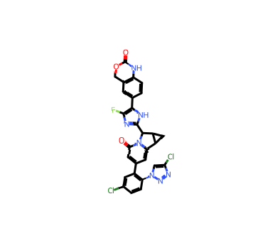 O=C1Nc2ccc(-c3[nH]c(C4C5CC5c5cc(-c6cc(Cl)ccc6-n6cc(Cl)nn6)cc(=O)n54)nc3F)cc2CO1